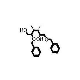 C[C@@H]([C@H](C)[C@H](CO)OCc1ccccc1)[C@H](O)COCc1ccccc1